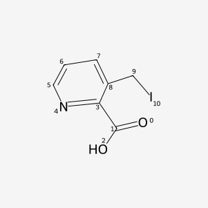 O=C(O)c1ncccc1CI